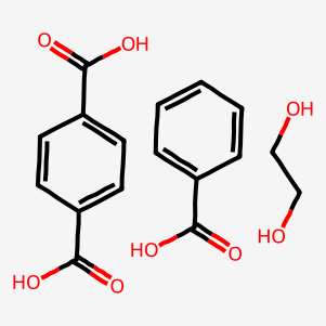 O=C(O)c1ccc(C(=O)O)cc1.O=C(O)c1ccccc1.OCCO